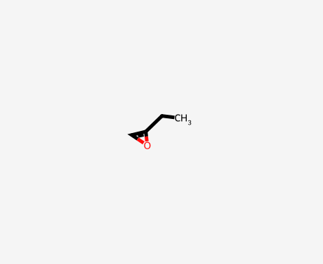 CCC1=CO1